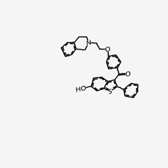 O=C(c1ccc(OCCN2CCc3ccccc3C2)cc1)c1c(-c2ccccc2)sc2cc(O)ccc12